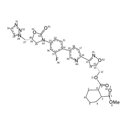 COC(=O)C1CCCCC1C(=O)OC[C@@H]1CC(c2ccc(-c3ccc(N4C[C@H](Cn5ccnn5)OC4=O)cc3F)cn2)=NO1